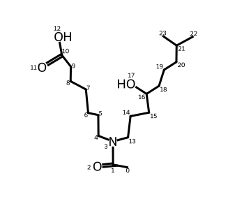 CC(=O)N(CCCCCCC(=O)O)CCCC(O)CCCC(C)C